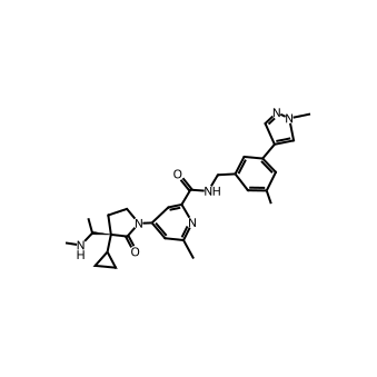 CNC(C)[C@@]1(C2CC2)CCN(c2cc(C)nc(C(=O)NCc3cc(C)cc(-c4cnn(C)c4)c3)c2)C1=O